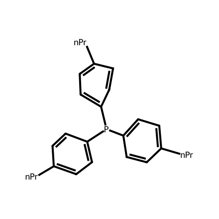 CCCc1ccc(P(c2ccc(CCC)cc2)c2ccc(CCC)cc2)cc1